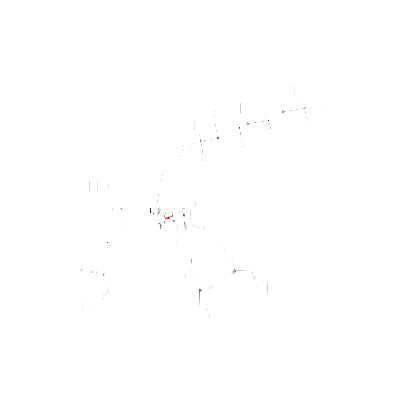 C=CC(=O)OCCO[Si](C)(C)O[Si](CCCC(F)(F)C(F)(F)C(F)(F)C(F)(F)C(F)(F)C(F)(F)C(F)(F)C(F)(F)F)(O[Si](C)(C)OCCOC(=O)C=C)O[Si](C)(C)OCCOC(=O)C=C